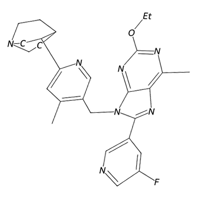 CCOc1nc(C)c2nc(-c3cncc(F)c3)n(Cc3cnc(C4CN5CCC4CC5)cc3C)c2n1